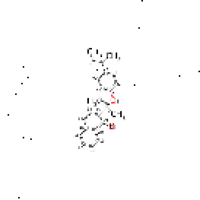 CCC(C)c1ccc(OC(C)(C)c2ccc3ccccc3c2Br)cc1